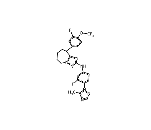 Cc1ncnn1-c1ccc(Nc2nc3n(n2)CCCCC3c2ccc(OC(F)(F)F)c(F)c2)cc1F